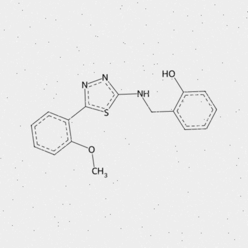 COc1ccccc1-c1nnc(NCc2ccccc2O)s1